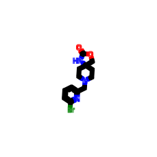 O=C1NC2(CCN(Cc3cccc(Br)n3)CC2)CO1